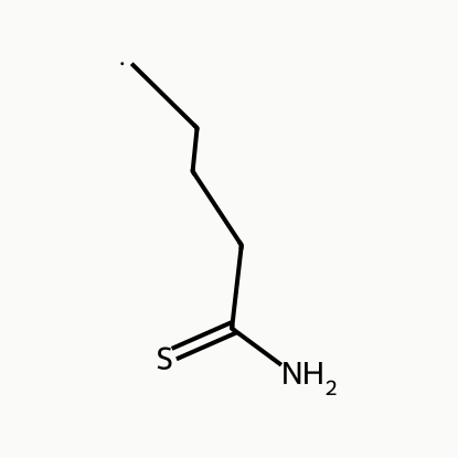 [CH2]CCCC(N)=S